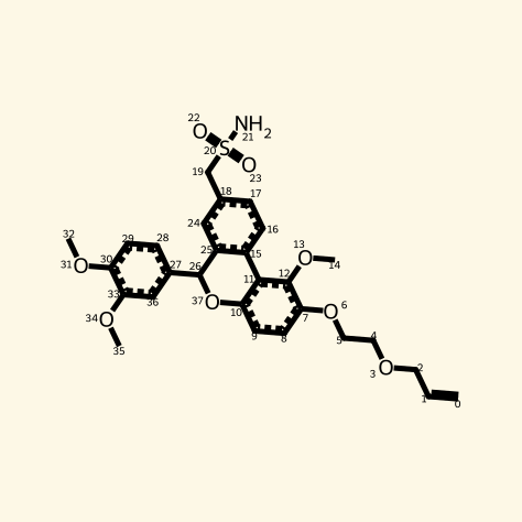 C=CCOCCOc1ccc2c(c1OC)-c1ccc(CS(N)(=O)=O)cc1C(c1ccc(OC)c(OC)c1)O2